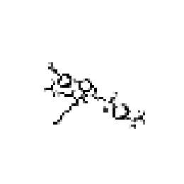 CCCCCCC(C(CCOC(C)=O)Oc1ccc(C#N)cc1)C(C)C12CNCC(CN(CCNC(=O)c3ccc(NC(C)=O)cc3)C1)C2